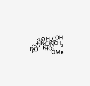 COC[C@@H](O)Cn1c(C(C)(C)CO)cc2cc(NC(=O)C3(c4ccc5c(c4)OC(F)(F)O5)CC3)c(F)cc21